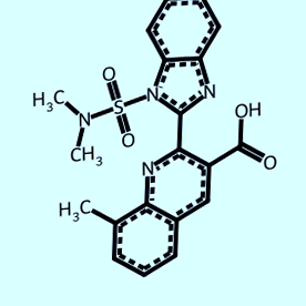 Cc1cccc2cc(C(=O)O)c(-c3nc4ccccc4n3S(=O)(=O)N(C)C)nc12